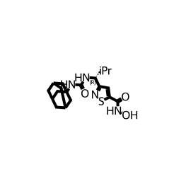 CC(C)[C@@H](NC(=O)NC12CC3CC(CC(C3)C1)C2)c1cc(C(=O)NO)sn1